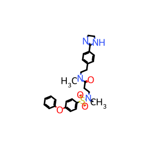 CN(CCc1ccc(C2=NCCN2)cc1)C(=O)CCN(C)S(=O)(=O)c1ccc(Oc2ccccc2)cc1